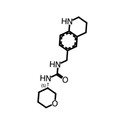 O=C(NCc1ccc2c(c1)CCCN2)N[C@H]1CCCOC1